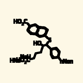 CCCCCCCCCc1ccc(C(Sc2ccc3cc(C(=O)O)ccc3c2)C(O)CCCC(=O)O)cc1.[NaH].[NaH]